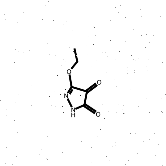 CCOC1=NNC(=O)C1=O